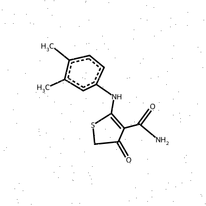 Cc1ccc(NC2=C(C(N)=O)C(=O)CS2)cc1C